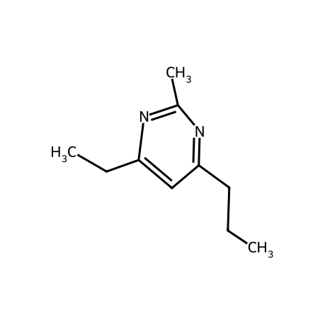 CCCc1cc(CC)nc(C)n1